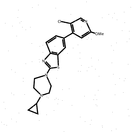 COc1cc(-c2ccc3nc(N4CCN(C5CC5)CC4)sc3c2)c(Cl)cn1